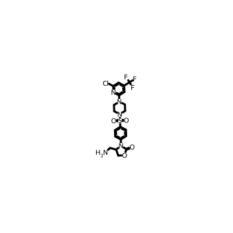 NCC1COC(=O)N1c1ccc(S(=O)(=O)N2CCN(c3cc(C(F)(F)F)cc(Cl)n3)CC2)cc1